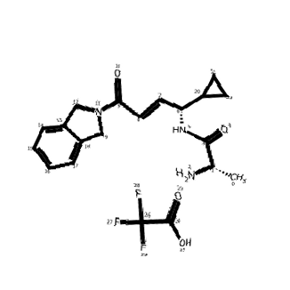 C[C@H](N)C(=O)N[C@H](/C=C/C(=O)N1Cc2ccccc2C1)C1CC1.O=C(O)C(F)(F)F